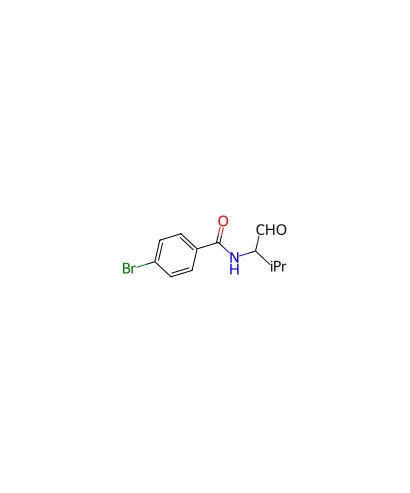 CC(C)C(C=O)NC(=O)c1ccc(Br)cc1